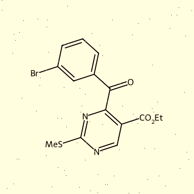 CCOC(=O)c1cnc(SC)nc1C(=O)c1cccc(Br)c1